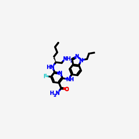 CCCC[C@H](CN)Nc1nc(Nc2ccc3c(cnn3CCC)c2)c(C(N)=O)cc1F